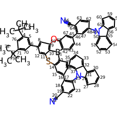 CC(C)(C)c1cc(-c2cc3c4c(c2)Sc2cc(-c5cc(C#N)ccc5-n5c6ccccc6c6ccccc65)ccc2B4c2ccc(-c4cc(-n5c6ccccc6c6ccccc65)ccc4C#N)cc2O3)cc(C(C)(C)C)c1